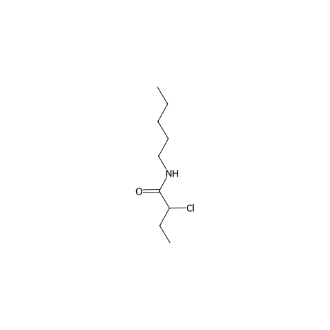 CCCCCNC(=O)C(Cl)CC